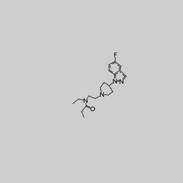 CCC(=O)N(CC)CCN1CCC(n2ncc3cc(F)ccc32)CC1